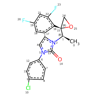 C[C@@H](n1ccn(-c2ccc(Cl)cc2)c1=O)[C@]1(c2ccc(F)cc2F)CO1